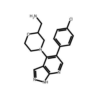 NCC1CN(c2c(-c3ccc(Cl)cc3)cnc3[nH]ncc23)CCO1